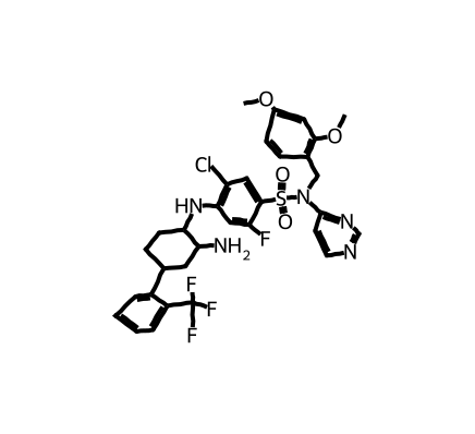 COc1ccc(CN(c2ccncn2)S(=O)(=O)c2cc(Cl)c(NC3CCC(c4ccccc4C(F)(F)F)CC3N)cc2F)c(OC)c1